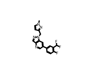 Cn1ccc(Cn2ncc3ncc(-c4ccc(F)c(C(F)F)c4)cc32)n1